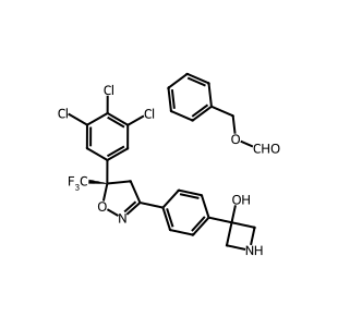 O=COCc1ccccc1.OC1(c2ccc(C3=NO[C@@](c4cc(Cl)c(Cl)c(Cl)c4)(C(F)(F)F)C3)cc2)CNC1